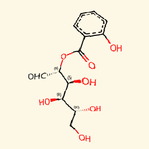 O=C[C@H](OC(=O)c1ccccc1O)[C@@H](O)[C@H](O)[C@H](O)CO